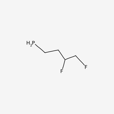 FCC(F)CCP